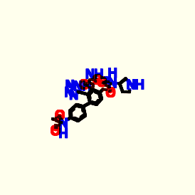 CS(=O)(=O)Nc1ccc(-c2ccc(S(=O)(=O)N[C@@H]3CCNC3)c(S(N)(=O)=O)c2-c2nnn[nH]2)cc1